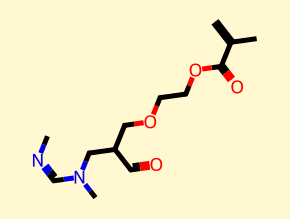 C=C(C)C(=O)OCCOCC(C=O)CN(C)/C=N\C